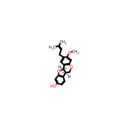 COc1cc2c(cc1CC=C(C)C)[C@@H]1Oc3cc(O)ccc3[C@@H]1CO2